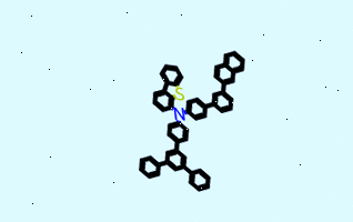 c1ccc(-c2cc(-c3ccccc3)cc(-c3ccc(N(c4ccc(-c5cccc(-c6ccc7ccccc7c6)c5)cc4)c4cccc5c4sc4ccccc45)cc3)c2)cc1